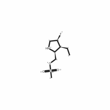 CC[C@@H]1[C@H](F)CN[C@@H]1COS(C)(=O)=O